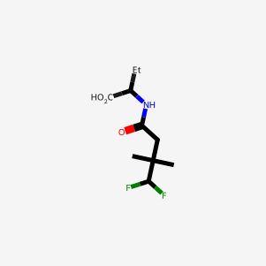 CCC(NC(=O)CC(C)(C)C(F)F)C(=O)O